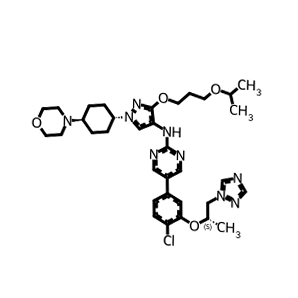 CC(C)OCCCOc1nn([C@H]2CC[C@H](N3CCOCC3)CC2)cc1Nc1ncc(-c2ccc(Cl)c(O[C@@H](C)Cn3cncn3)c2)cn1